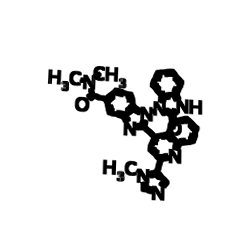 CN(C)C(=O)c1ccc2c(c1)nc(-c1cc(-c3cncn3C)nc3ccccc13)n2-n1c(=O)[nH]c2ccccc21